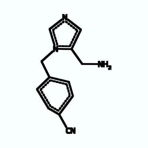 N#Cc1ccc(Cn2cncc2CN)cc1